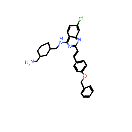 NCC1CCCC(CNc2nc(/C=C/c3ccc(OCc4ccccc4)cc3)nc3cc(Cl)ccc23)C1